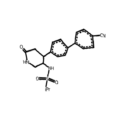 CC(C)S(=O)(=O)NC1CNC(=O)CC1c1ccc(-c2ccc(C#N)cc2)cc1